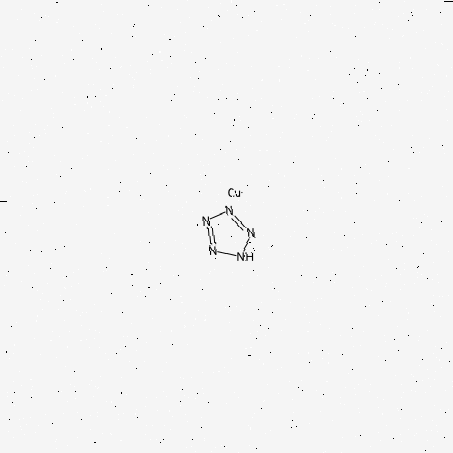 [Cu].n1nn[nH]n1